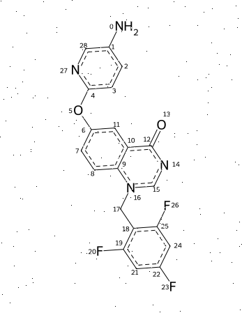 Nc1ccc(Oc2ccc3c(c2)c(=O)ncn3Cc2c(F)cc(F)cc2F)nc1